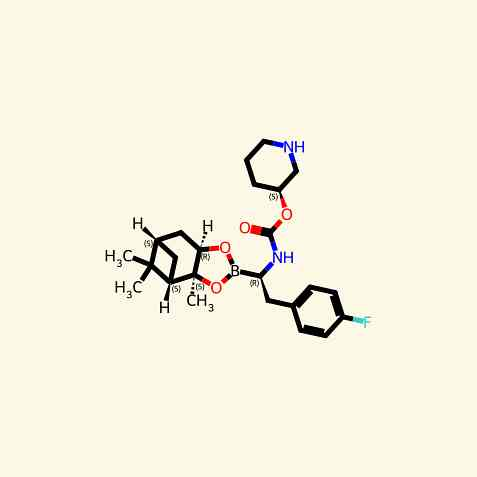 CC1(C)[C@@H]2C[C@H]3OB([C@H](Cc4ccc(F)cc4)NC(=O)O[C@H]4CCCNC4)O[C@@]3(C)[C@H]1C2